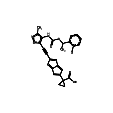 Cc1noc(C#CC2=CC3=CC(C4(C(=O)O)CC4)=CC3=C2)c1NC(=O)OC(C)c1ccccc1Cl